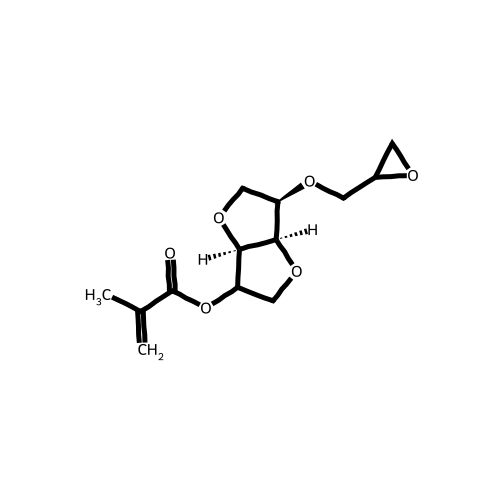 C=C(C)C(=O)OC1CO[C@H]2[C@@H]1OC[C@H]2OCC1CO1